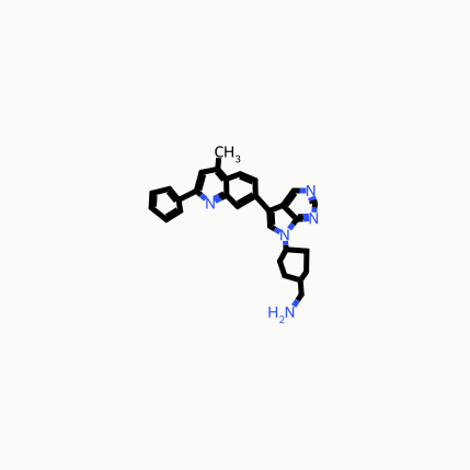 Cc1cc(-c2ccccc2)nc2cc(-c3cn(C4CCC(CN)CC4)c4ncncc34)ccc12